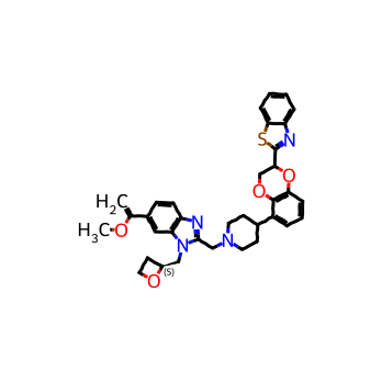 C=C(OC)c1ccc2nc(CN3CCC(c4cccc5c4OCC(c4nc6ccccc6s4)O5)CC3)n(C[C@@H]3CCO3)c2c1